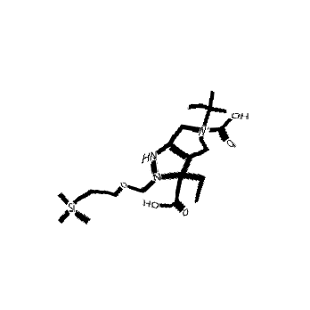 CCC1(C(=O)O)C2=C(C[N+](C(=O)O)(C(C)(C)C)C2)NN1COCC[Si](C)(C)C